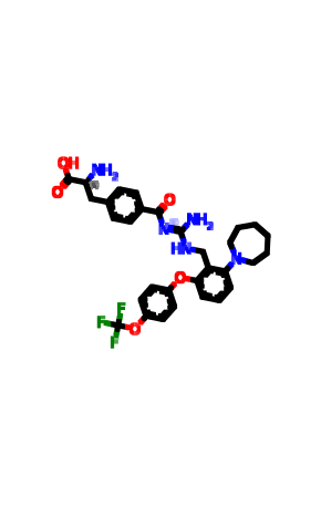 N/C(=N\C(=O)c1ccc(C[C@H](N)C(=O)O)cc1)NCc1c(Oc2ccc(OC(F)(F)F)cc2)cccc1N1CCCCCC1